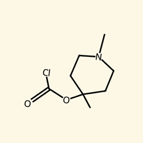 CN1CCC(C)(OC(=O)Cl)CC1